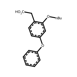 CCCCOc1cc(Oc2ccccc2)ccc1CC(=O)O